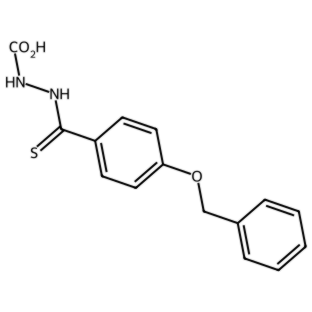 O=C(O)NNC(=S)c1ccc(OCc2ccccc2)cc1